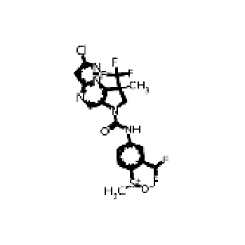 C[S@+]([O-])c1ccc(NC(=O)N2C[C@@](C)(C(F)(F)F)c3c2cnc2cc(Cl)nn32)cc1C(F)F